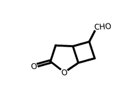 O=CC1CC2OC(=O)CC12